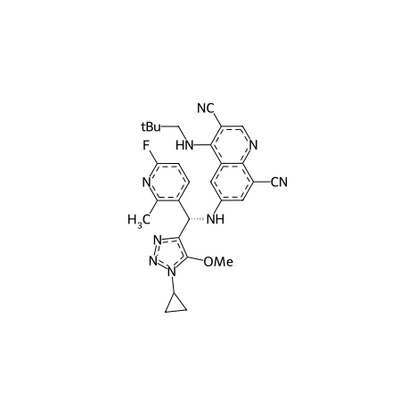 COc1c([C@@H](Nc2cc(C#N)c3ncc(C#N)c(NCC(C)(C)C)c3c2)c2ccc(F)nc2C)nnn1C1CC1